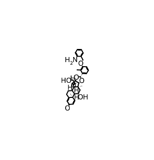 Cc1c(OCc2ccccc2N)cccc1[C@H]1O[C@@H]2C[C@H]3[C@@H]4CCC5=CC(=O)C=C[C@]5(C)[C@H]4[C@@H](O)C[C@]3(C)[C@]2(C(=O)CO)O1